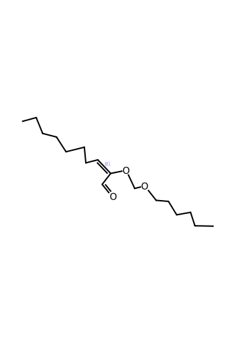 CCCCCCC/C=C(\C=O)OCOCCCCCC